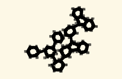 c1ccc(-c2cc(-c3ccccc3)nc(-c3ncccc3-c3ccc4c(c3)c3ccccc3n4-c3cccc(-n4c5ccccc5c5ccccc54)c3)n2)cc1